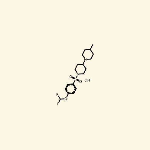 CC1CCN(C2CCN(S(=O)(=O)c3ccc(OC(F)F)cc3)CC2)CC1.Cl